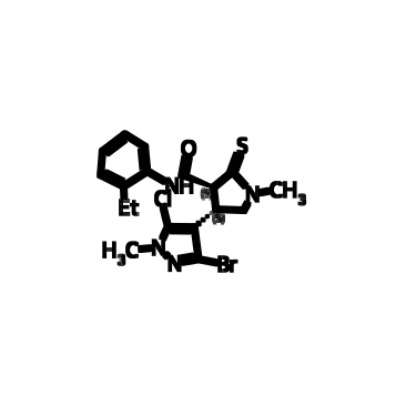 CCc1ccccc1NC(=O)[C@H]1C(=S)N(C)C[C@@H]1c1c(Br)nn(C)c1Cl